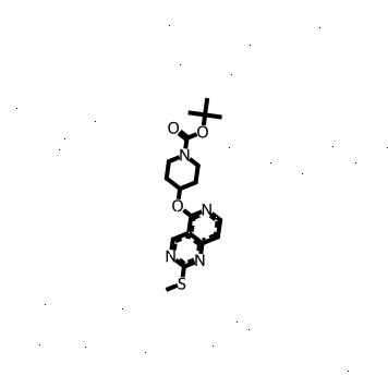 CSc1ncc2c(OC3CCN(C(=O)OC(C)(C)C)CC3)nccc2n1